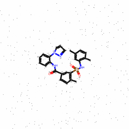 Cc1ccc(C)c(NS(=O)(=O)c2cc(C(=O)Nc3ccccc3-n3cccn3)ccc2C)c1